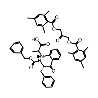 CC(Nc1ccccc1C(=O)[C@H](Cc1ccccc1)NC(=O)OCc1ccccc1)C(=O)O.Cc1cc(C)c(C(=O)OCC(=O)COC(=O)c2c(C)cc(C)cc2C)c(C)c1